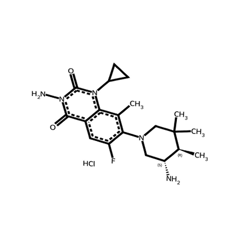 Cc1c(N2C[C@@H](N)[C@H](C)C(C)(C)C2)c(F)cc2c(=O)n(N)c(=O)n(C3CC3)c12.Cl